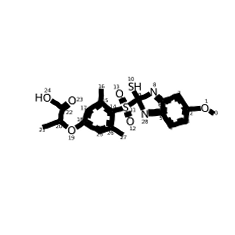 COc1ccc2c(c1)=NC(S)(S(=O)(=O)c1c(C)cc(OC(C)C(=O)O)cc1C)N=2